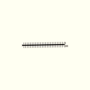 O=C(O)C(I)(I)C(I)(I)C(I)(I)C(I)(I)C(I)(I)C(I)(I)C(I)(I)C(I)(I)C(I)(I)C(I)(I)C(I)(I)C(I)(I)C(I)(I)C(I)(I)C(I)(I)C(I)(I)C(I)(I)C(I)(I)C(I)(I)C(I)(I)C(I)(I)C(I)(I)C(I)(I)C(I)(I)I